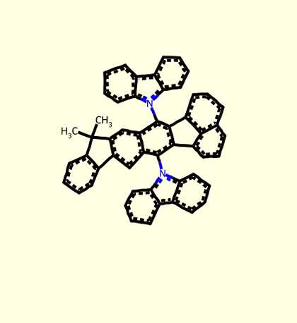 CC1(C)c2ccccc2-c2cc3c(-n4c5ccccc5c5ccccc54)c4c(c(-n5c6ccccc6c6ccccc65)c3cc21)-c1cccc2cccc-4c12